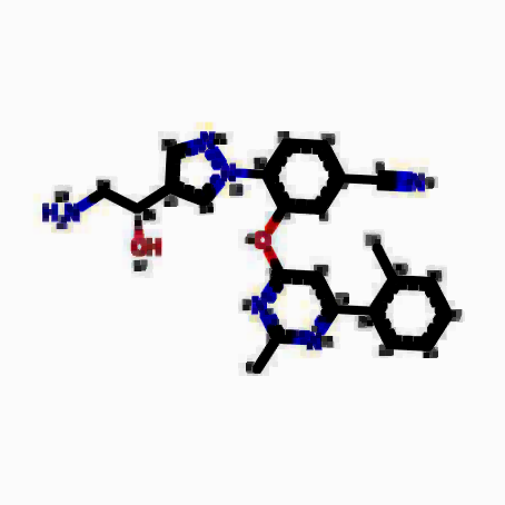 Cc1nc(Oc2cc(C#N)ccc2-n2cc([C@H](O)CN)cn2)cc(-c2ccccc2C)n1